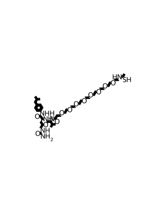 CC(C)Cc1ccc(NC(=O)[C@H](CCCNC(N)=O)NC(=O)[C@@H](NC(=O)CCOCCOCCOCCOCCOCCOCCOCCOCCNC(C)S)C(C)C)cc1